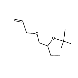 C=CCOCC(CC)OC(C)(C)C